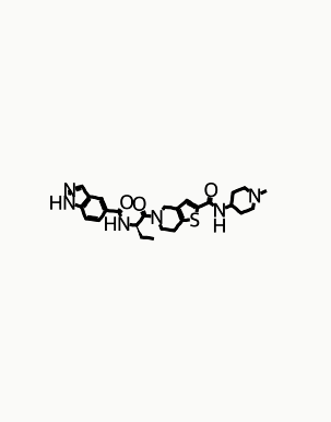 CC[C@@H](NC(=O)c1ccc2[nH]ncc2c1)C(=O)N1CCc2sc(C(=O)NC3CCN(C)CC3)cc2C1